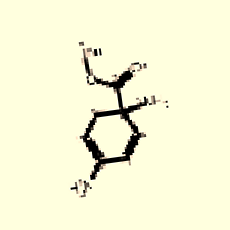 CC(C)(C)OC(=O)C1(N)C=CC(N)=CC1